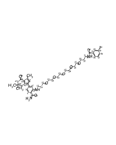 Cc1nn(-c2ccc(C(N)=O)c(NCCCOCCOCCOCCOCCOCCCNC(=O)c3cccc(I)c3)c2)c2c1C(=O)CC(C)(C)C2